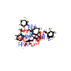 NC(=O)C1(C(=O)O)CC(C(=O)O)(C2(C(N)=O)CCCCC2OCc2ccccc2)N(CC(=O)NC2CCCCC2OCc2ccccc2)N1